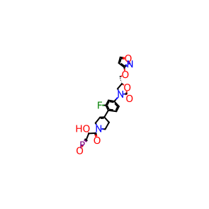 O=P#C[C@@H](O)C(=O)N1CC=C(c2ccc(N3C[C@H](COc4ccon4)OC3=O)cc2F)CC1